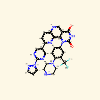 O=c1[nH]c(=O)n(-c2ccc(N3CCNCC3)c(C(F)(F)F)c2)c2c1cnc1ccc(-c3cnc(-n4cccn4)nc3)nc12